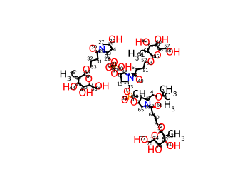 CC(C)OC[C@@H]1C[C@@H](OP(C)(=O)OC[C@@H]2C[C@@H](OP(=O)(O)OC[C@@H]3C[C@@H](O)CN3C(=O)CCCO[C@@H]3OC(CO)[C@H](O)C(O)[C@@H]3C)CN2C(=O)CCCO[C@@H]2OC(CO)[C@H](O)C(O)[C@@H]2C)CN1C(=O)CCCO[C@@H]1OC(CO)[C@H](O)C(O)[C@@H]1C